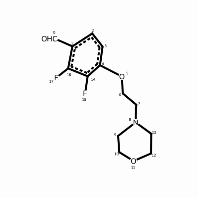 O=Cc1ccc(OCCN2CCOCC2)c(F)c1F